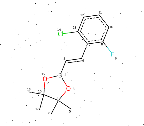 CC1(C)OB(C=Cc2c(F)cccc2Cl)OC1(C)C